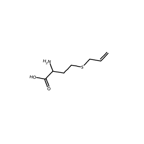 C=CCSCCC(N)C(=O)O